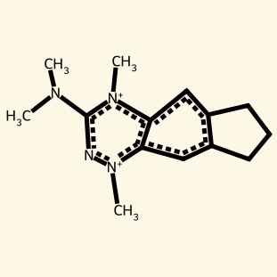 CN(C)c1n[n+](C)c2cc3c(cc2[n+]1C)CCC3